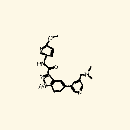 COc1ccc(NC(=O)c2n[nH]c3ccc(-c4cncc(CN(C)C)c4)cc23)cn1